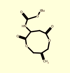 C=C1COC(=O)CC(NC(=O)OC(C)(C)C)C(=O)OC1